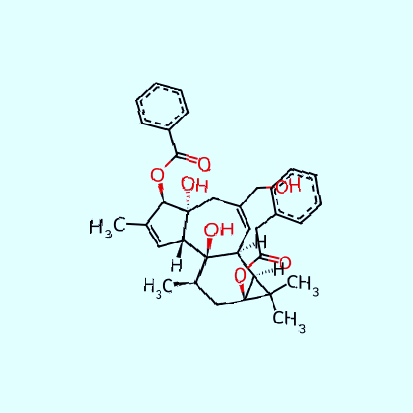 CC1=C[C@@H]2[C@](O)(CC(CO)=C[C@H]3[C@H]4C(C)(C)[C@]4(OC(=O)Cc4ccccc4)C[C@@H](C)[C@]23O)[C@@H]1OC(=O)c1ccccc1